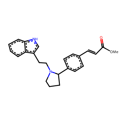 COC(=O)C=Cc1ccc(C2CCCN2CCc2c[nH]c3ccccc23)cc1